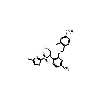 Cc1csc(S(=O)(=O)N(CC(C)C)c2ccc(C(F)(F)F)cc2OCc2ccc(C(=O)O)cc2C)n1